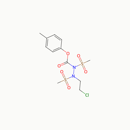 Cc1ccc(OC(=O)N(N(CCCl)S(C)(=O)=O)S(C)(=O)=O)cc1